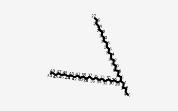 [CH2]CCCCC(CCCCCCCCCCCCCCCCCCCCCC)CCCCCCCCCCCCCCCCCCCCCCC